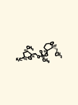 CC[C@H]1OCC[C@@H]1O[P@@](C)(=O)OC[C@H]1O[C@@H](C)C[C@@H]1C